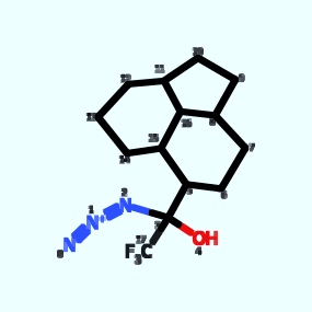 [N-]=[N+]=NC(O)(C1CCC2CCC3CCCC1C32)C(F)(F)F